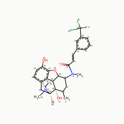 CC1CC(N(C)C(=O)/C=C/c2cccc(C(F)(F)F)c2)C2Oc3c(O)ccc4c3[C@@]23CCN(C)[C@H](C4)[C@]13O